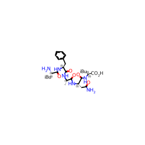 CC[C@H](C)[C@H](N)C(=O)N[C@@H](Cc1ccccc1)C(=O)N[C@@H](C)C(=O)N[C@@H](CC(N)=O)C(=O)N[C@H](C(=O)O)[C@@H](C)CC